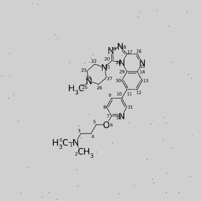 CN(C)CCCOc1ccc(-c2ccc3ncc4nnc(N5CCN(C)CC5)n4c3c2)cn1